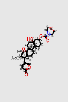 CC(=O)O[C@H]1[C@H]2O[C@]23[C@@H]2CC[C@]4(O)C[C@@H](OC(=O)N5CCOCC5)CC[C@]4(C)[C@H]2CC[C@]3(C)[C@H]1c1ccc(=O)oc1